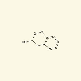 OC1Cc2ccccc2OO1